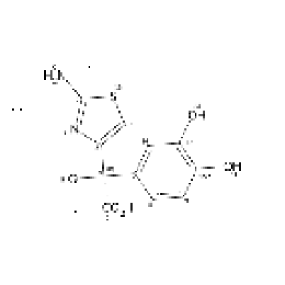 Nc1nc([C@@]([O])(C(=O)O)c2ccc(O)c(O)c2)cs1